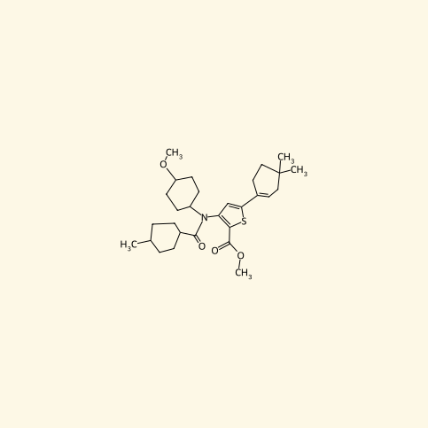 COC(=O)c1sc(C2=CCC(C)(C)CC2)cc1N(C(=O)C1CCC(C)CC1)C1CCC(OC)CC1